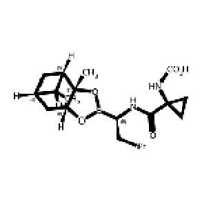 CC(C)C[C@H](NC(=O)C1(NC(=O)O)CC1)B1O[C@@H]2C[C@@H]3C[C@@H](C3(C)C)[C@]2(C)O1